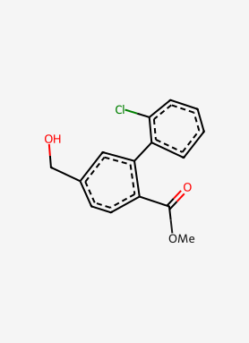 COC(=O)c1ccc(CO)cc1-c1ccccc1Cl